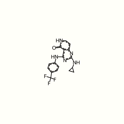 O=c1[nH]ccc2nc(NC3CC3)nc(Nc3ccc(C(F)(F)F)cc3)c12